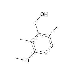 [CH2]c1ccc(OC)c(C)c1CO